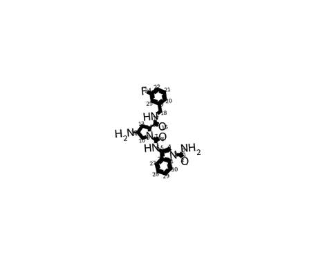 NC(=O)n1cc(NC(=O)N2C[C@@H](N)C[C@H]2C(=O)NCc2cccc(F)c2)c2ccccc21